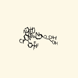 O=C(Nc1ccc(OC[C@@H](O)CO)cn1)N1c2nc(-c3cccc(C(F)(F)F)c3)c(Cl)cc2N2CC[C@H]1C2